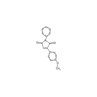 COc1ccc(C2=CC(=O)N(c3ccccc3)C2=O)cc1